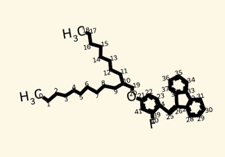 CCCCCCCCCCC(CCCCCCCC)COc1ccc(C=C2c3ccccc3-c3ccccc32)c(F)c1